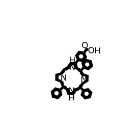 O=C(O)c1ccc(-c2cc3cc4nc(c(-c5ccccc5)c5ccc([nH]5)c(-c5ccccc5)c5nc(c(-c6ccccc6)c2[nH]3)C=C5)C=C4)cc1